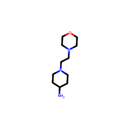 NC1CCN(CCN2CCOCC2)CC1